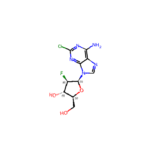 Nc1nc(Cl)nc2c1ncn2[C@H]1O[C@@H](CO)[C@H](O)[C@H]1F